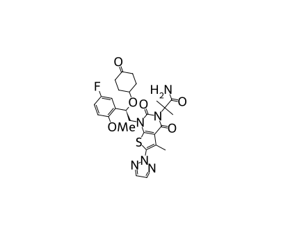 COc1ccc(F)cc1[C@H](Cn1c(=O)n(C(C)(C)C(N)=O)c(=O)c2c(C)c(-n3nccn3)sc21)OC1CCC(=O)CC1